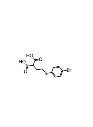 O=C(O)C(CCSc1ccc(Br)cc1)C(=O)O